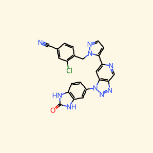 N#Cc1ccc(Cn2nccc2-c2cc3c(cn2)nnn3-c2ccc3[nH]c(=O)[nH]c3c2)c(Cl)c1